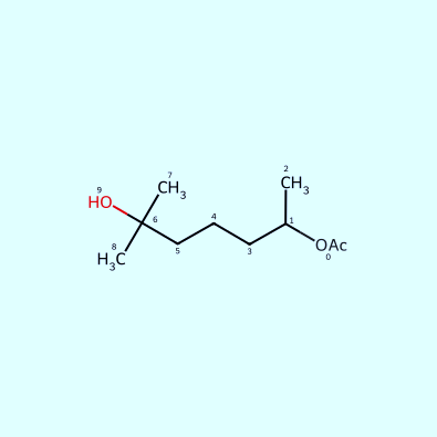 CC(=O)OC(C)CCCC(C)(C)O